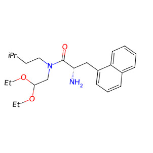 CCOC(CN(CCC(C)C)C(=O)[C@@H](N)Cc1cccc2ccccc12)OCC